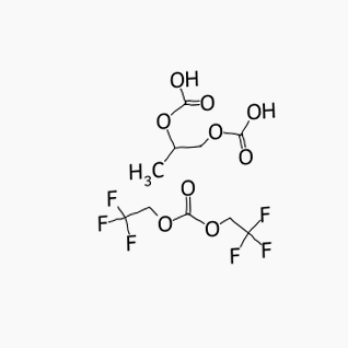 CC(COC(=O)O)OC(=O)O.O=C(OCC(F)(F)F)OCC(F)(F)F